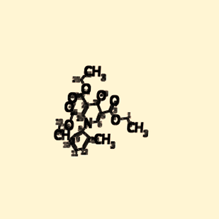 CCOC(=O)c1cn(-c2ccccc2C)c(C(=O)OCC)c(C(=O)OCC)c1=O